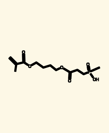 C=C(C)C(=O)OCCCCOC(=O)CCP(C)(=O)O